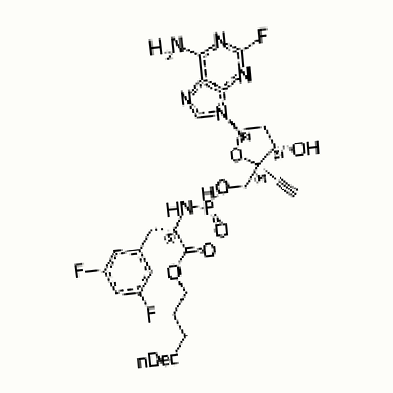 C#C[C@]1(CO[PH](=O)N[C@@H](Cc2cc(F)cc(F)c2)C(=O)OCCCCCCCCCCCCC)O[C@@H](n2cnc3c(N)nc(F)nc32)C[C@@H]1O